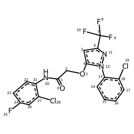 O=C(COc1cc(C(F)(F)F)nn1-c1ccccc1Cl)Nc1ccc(F)cc1Cl